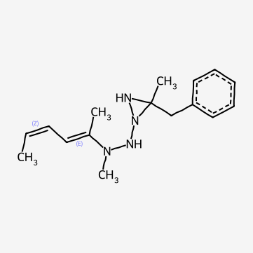 C/C=C\C=C(/C)N(C)NN1NC1(C)Cc1ccccc1